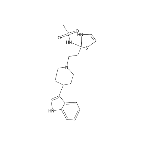 CS(=O)(=O)NC1(CCN2CCC(c3c[nH]c4ccccc34)CC2)NC=CS1